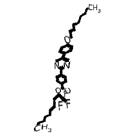 CCCCCCCCCOc1ccc(-c2cnc(-c3ccc(C(=O)OC(CCCCCCCC)C(F)(F)F)cc3)nc2)cc1